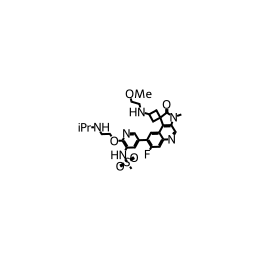 COCCNC1CC2(C1)C(=O)N(C)c1cnc3cc(F)c(-c4cnc(OCCNC(C)C)c(NS(C)(=O)=O)c4)cc3c12